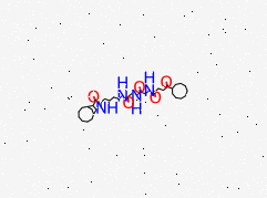 O=C(CCC(=O)C1CCCCCCCC1)NCC(=O)NCC(=O)NCCCCC1NC2C3CCCCCCC(C3)C2C1=O